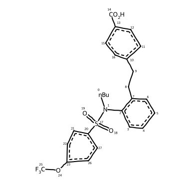 CCCCN(c1ccccc1CCc1ccc(C(=O)O)cc1)S(=O)(=O)c1ccc(OC(F)(F)F)cc1